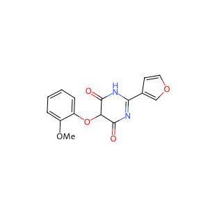 COc1ccccc1OC1C(=O)N=C(c2ccoc2)NC1=O